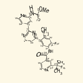 COC(=O)Nc1cc(-c2nccc(-c3cc(NC(=O)c4ccnc(C(C)(C)F)c4)c(F)cc3C)n2)ccn1